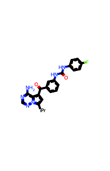 CC(C)c1cc(C(=O)c2cccc(NC(=O)Nc3ccc(F)cc3)c2)c2c(N)ncnn12